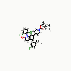 Cc1ccc(F)cc1-c1cc(C2=CCN(C(=O)OC(C)(C)C)CC2)cc2c1CCC(=O)N2c1c(Cl)cccc1Cl